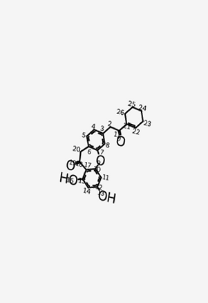 O=C(Cc1ccc2c(c1)Oc1cc(O)cc(O)c1C(=O)C2)C1=CCCCC1